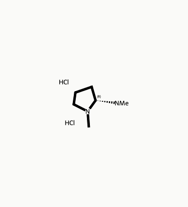 CN[C@H]1CCCN1C.Cl.Cl